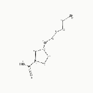 O=C(O)N1CCC(OCCCCBr)C1